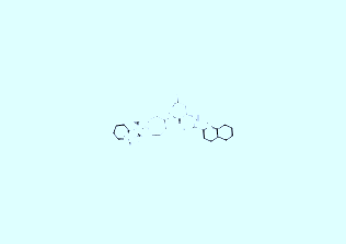 CC(C)CC(NC(=O)c1ccc2ccccc2n1)C(=O)NC1CCCN(S(=O)(=O)c2cccc[n+]2[O-])C[C@@H]1O